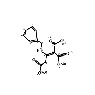 COC(=O)CC(NCc1ccccc1)=C(C(=O)OC)C(=O)C(F)(F)F